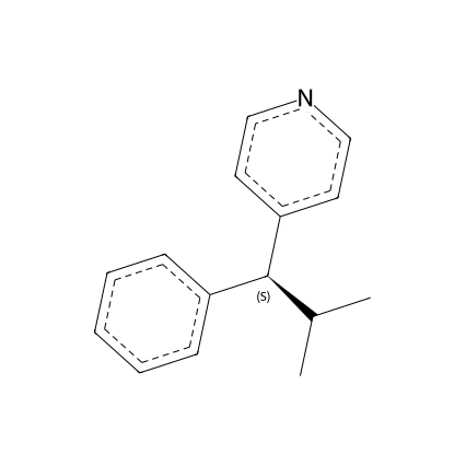 CC(C)[C@@H](c1ccccc1)c1ccncc1